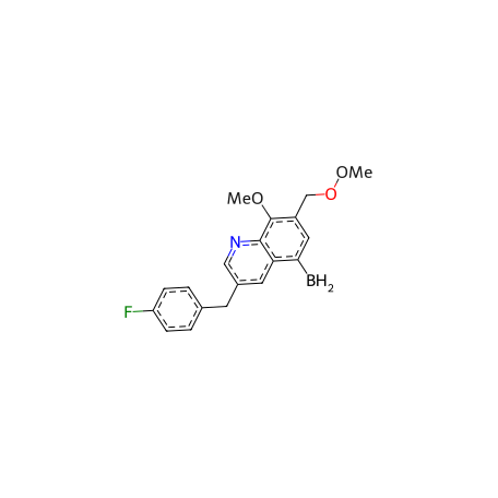 Bc1cc(COOC)c(OC)c2ncc(Cc3ccc(F)cc3)cc12